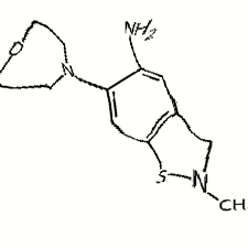 CN1Cc2cc(N)c(N3CCOCC3)cc2S1